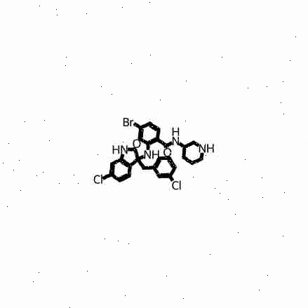 O=C(NC1CCCNC1)c1ccc(Br)cc1NC1(Cc2cccc(Cl)c2)C(=O)Nc2cc(Cl)ccc21